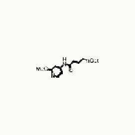 CCCCCCCCCCCC(=O)Nc1ccnc(OC)c1